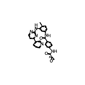 Cc1ccc(NC(=O)c2ccc(NC(=O)[C@H]3CO3)cc2)cc1Nc1nccc(-c2cccnc2)n1